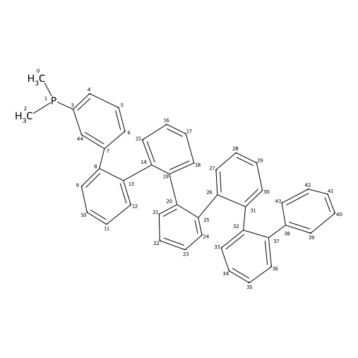 CP(C)c1cccc(-c2ccccc2-c2ccccc2-c2ccccc2-c2ccccc2-c2ccccc2-c2ccccc2)c1